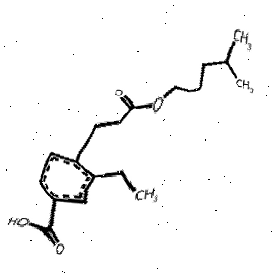 CCc1cc(C(=O)O)ccc1CCC(=O)OCCCC(C)C